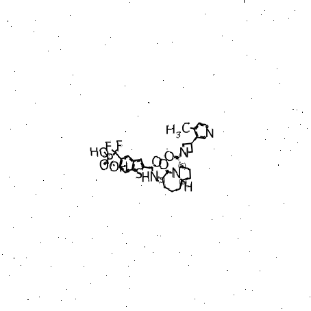 Cc1ccncc1C1CN(C(=O)[C@@H]2CC[C@@H]3CCC[C@H](NC(=O)c4cc5cc(C(F)(F)P(=O)(O)O)ccc5s4)C(=O)N32)C1